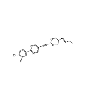 CCC=C[C@H]1CO[C@H](C#Cc2cnc(-c3ccc(Cl)c(F)c3)nc2)OC1